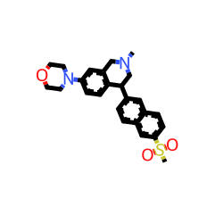 CN1Cc2cc(N3CCOCC3)ccc2C(c2ccc3cc(S(C)(=O)=O)ccc3c2)C1